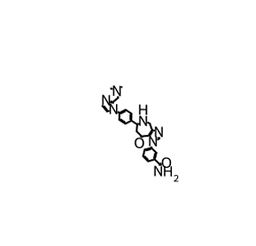 CN(C)Cc1nccn1-c1ccc(C2CC(=O)c3c(ncn3-c3cccc(C(N)=O)c3)CN2)cc1